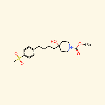 CC(C)(C)OC(=O)N1CCC(O)(CCCCc2ccc(S(C)(=O)=O)cc2)CC1